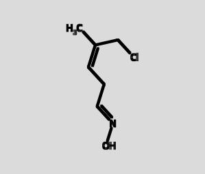 CC(=CCC=NO)CCl